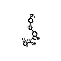 Cn1ccnc1C(O)Nc1c[nH]c2ccc(-c3cnn(-c4ccc(C(F)(F)F)cc4)c3)cc12